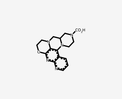 O=C(O)N1CCN2c3c4c(nc5ncccc35)OCCN4CC2C1